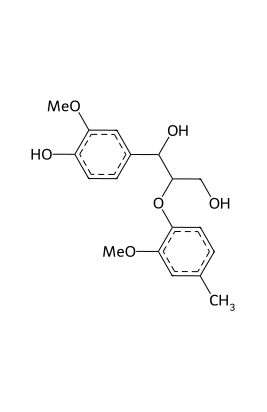 COc1cc(C(O)C(CO)Oc2ccc(C)cc2OC)ccc1O